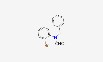 O=[C]N(Cc1ccccc1)c1ccccc1Br